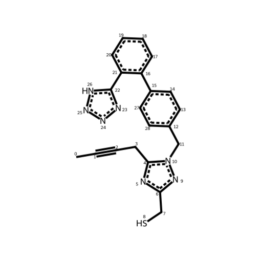 CC#CCc1nc(CS)nn1Cc1ccc(-c2ccccc2-c2nnn[nH]2)cc1